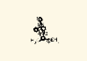 CCc1cc(NC(=O)N2CCc3nc(-c4cccnc4)nc(-c4ccccc4C)c3C2)cc(-c2cn(C)cn2)c1